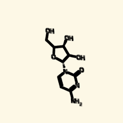 Nc1ccn([C@@H]2OC(CO)[C@@H](O)C2O)c(=O)n1